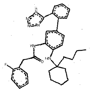 CCCCC1(Nc2ccc(-c3ccccc3-c3nnn[nH]3)cc2NC(=O)Cc2ccccc2F)CCCCC1